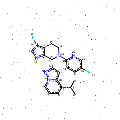 CC(C)c1cccn2nc([C@@H]3c4ncn(F)c4CCN3c3ccc(F)cn3)cc12